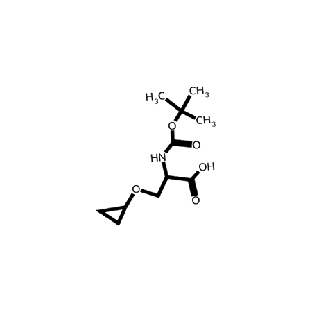 CC(C)(C)OC(=O)NC(COC1CC1)C(=O)O